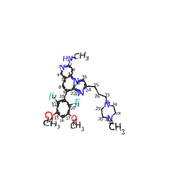 CNc1cc2c(cn1)cc(-c1c(F)c(OC)cc(OC)c1F)c1nc(CCCN3CCN(C)CC3)cn12